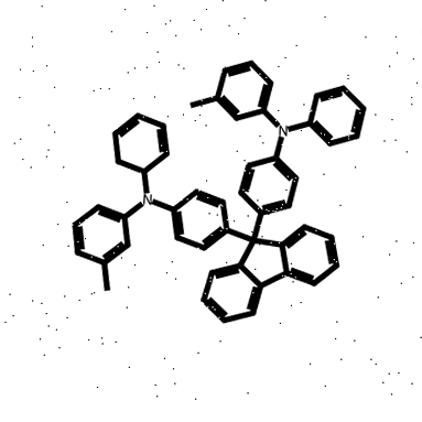 Cc1cccc(N(c2ccccc2)c2ccc(C3(c4ccc(N(c5cccc(C)c5)C5C=CC=CC5)cc4)c4ccccc4-c4ccccc43)cc2)c1